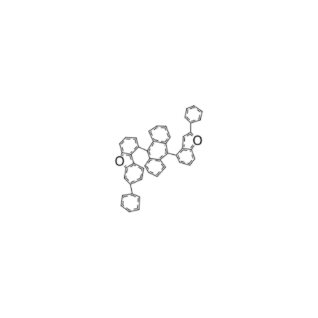 c1ccc(-c2ccc3c(c2)oc2cccc(-c4c5ccccc5c(-c5cccc6oc(-c7ccccc7)cc56)c5ccccc45)c23)cc1